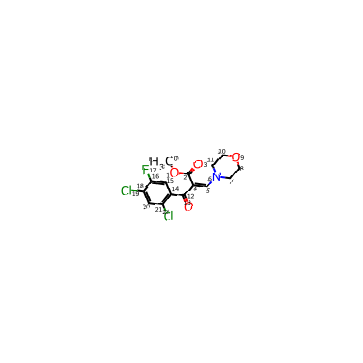 COC(=O)C(=CN1CCOCC1)C(=O)c1cc(F)c(Cl)cc1Cl